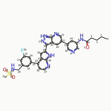 CCCCC(=O)Nc1cncc(-c2cnc3[nH]nc(-c4cc5c(-c6cc(F)cc(CNS(C)(=O)=O)c6)ccnc5[nH]4)c3c2)c1